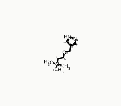 C[Si](C)(C)CCOCc1cn[nH]c1